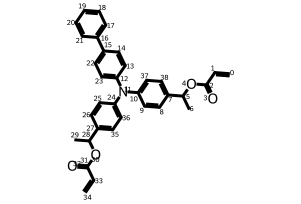 C=CC(=O)OC(C)c1ccc(N(c2ccc(-c3ccccc3)cc2)c2ccc(C(C)OC(=O)C=C)cc2)cc1